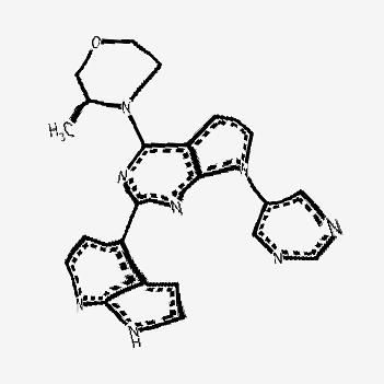 CC1COCCN1c1nc(-c2ccnc3[nH]ccc23)nc2c1ccn2-c1cncnc1